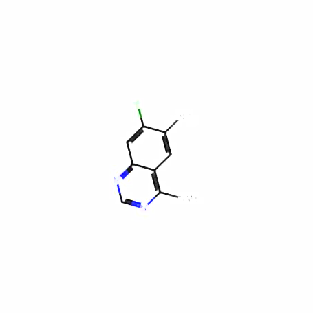 CNc1ncnc2cc(F)c([N+](=O)[O-])cc12